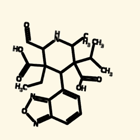 CCC1(C(=O)O)C(C=O)NC(C)C(C(=O)O)(C(C)C)C1c1cccc2nonc12